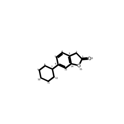 O=C1Cc2ccc(C3CCCCC3)cc2O1